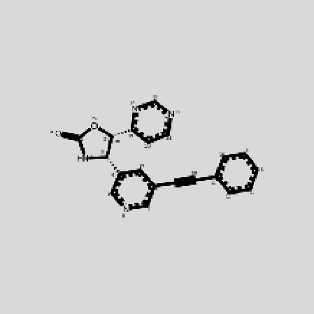 O=C1N[C@@H](c2cncc(C#Cc3ccccc3)c2)[C@@H](c2ccncn2)O1